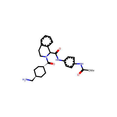 COC(=O)Nc1ccc(NC(=O)C2c3ccccc3CCN2C(=O)[C@H]2CC[C@H](CN)CC2)cc1